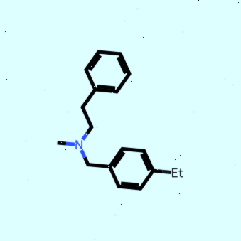 CCc1ccc(CN(C)CCc2ccccc2)cc1